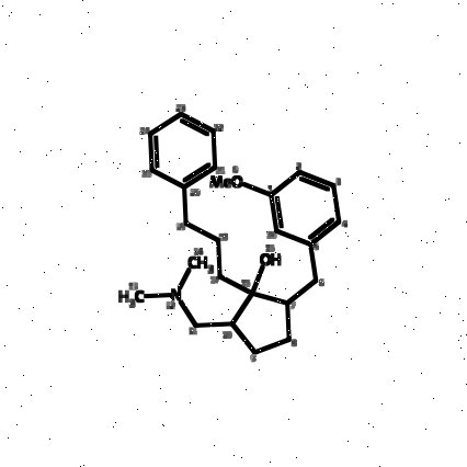 COc1cccc(CC2CCC(CN(C)C)C2(O)CCCc2ccccc2)c1